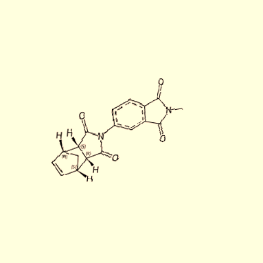 CN1C(=O)c2ccc(N3C(=O)[C@@H]4[C@H](C3=O)[C@@H]3C=C[C@H]4C3)cc2C1=O